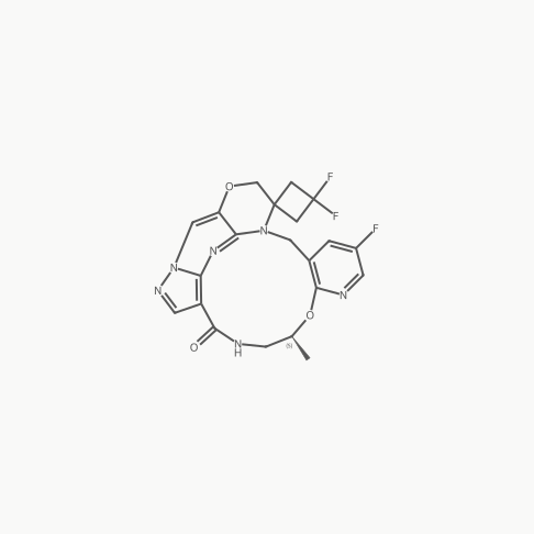 C[C@H]1CNC(=O)c2cnn3cc4c(nc23)N(Cc2cc(F)cnc2O1)C1(CO4)CC(F)(F)C1